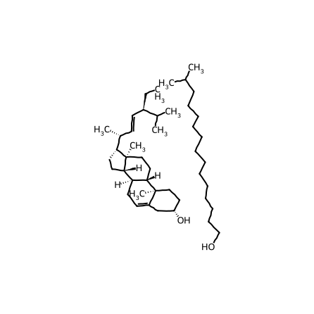 CC(C)CCCCCCCCCCCCCO.CC[C@H](/C=C/[C@@H](C)[C@H]1CC[C@H]2[C@@H]3CC=C4C[C@@H](O)CC[C@]4(C)[C@H]3CC[C@]12C)C(C)C